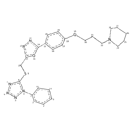 c1ccc(-n2nnnc2SCc2nnc(-c3ccc(OCCCN4CCCCC4)cc3)o2)cc1